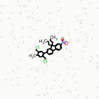 CCCC1(CCC)c2cc(-c3cc(CCl)c(C)cc3CCl)ccc2-c2ccc([N+](=O)[O-])cc21